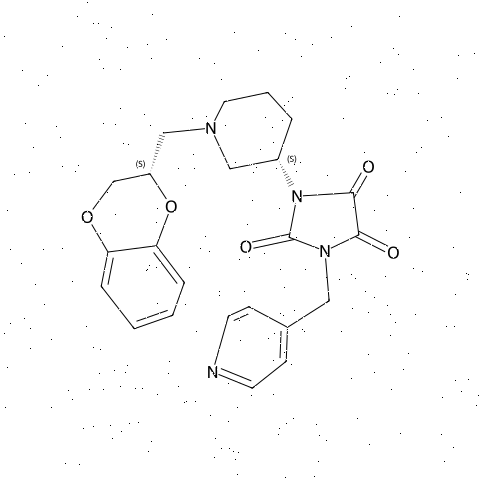 O=C1C(=O)N([C@H]2CCCN(C[C@H]3COc4ccccc4O3)C2)C(=O)N1Cc1ccncc1